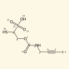 O=C(NCC#CI)OCC(S)S(=O)(=O)O